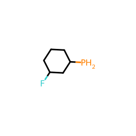 FC1CCCC(P)C1